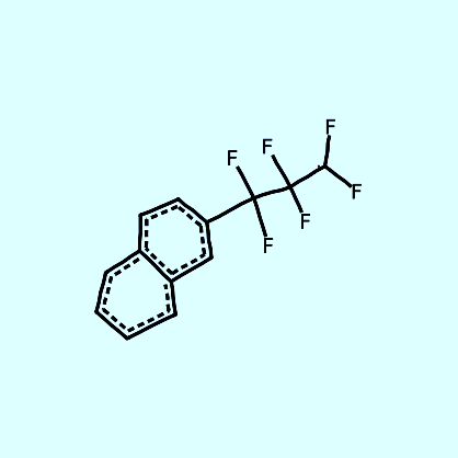 F[C](F)C(F)(F)C(F)(F)c1ccc2ccccc2c1